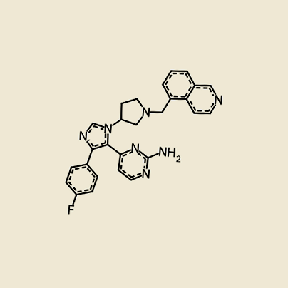 Nc1nccc(-c2c(-c3ccc(F)cc3)ncn2C2CCN(Cc3cccc4cnccc34)C2)n1